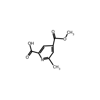 COC(=O)c1cc(C)nc(C(=O)O)c1